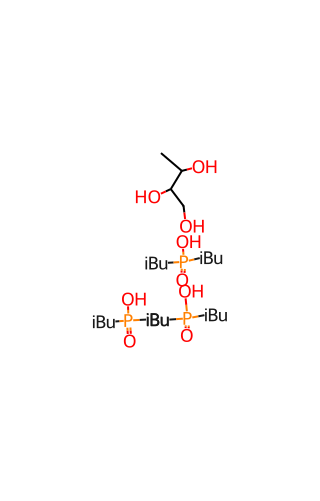 CC(O)C(O)CO.CCC(C)P(=O)(O)C(C)CC.CCC(C)P(=O)(O)C(C)CC.CCC(C)P(=O)(O)C(C)CC